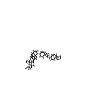 O=C(Nc1nc2c(-c3ccc(OCc4ccc(Cl)nc4)cc3)cccn2n1)C1CC1